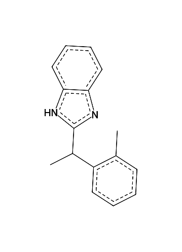 Cc1ccccc1C(C)c1nc2ccccc2[nH]1